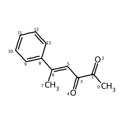 CC(=O)C(=O)C=C(C)c1ccccc1